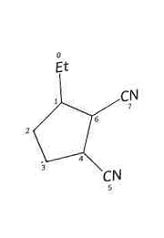 [CH2]CC1C[CH]C(C#N)C1C#N